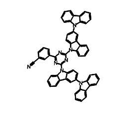 N#Cc1cccc(-c2nc(-n3c4ccccc4c4cc(-n5c6ccccc6c6ccccc65)ccc43)nc(-n3c4ccccc4c4cc(-n5c6ccccc6c6ccccc65)ccc43)n2)c1